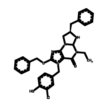 CCN1C(=O)c2c(nc(OCc3ccccc3)n2Cc2ccc(O)c(Cl)c2)N2C[C@@H](Cc3ccccc3)NC12